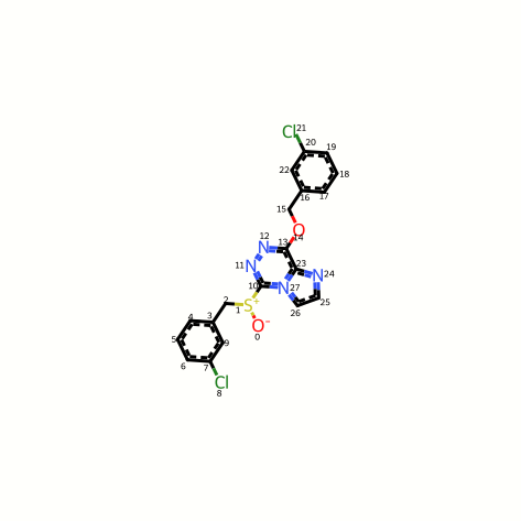 [O-][S+](Cc1cccc(Cl)c1)c1nnc(OCc2cccc(Cl)c2)c2nccn12